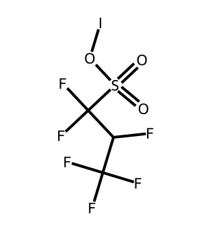 O=S(=O)(OI)C(F)(F)C(F)C(F)(F)F